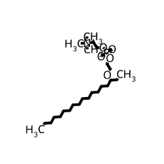 CCCCCCCCCCCCCCCC(CC)OCCOP(=O)([O-])OCC[N+](C)(C)C